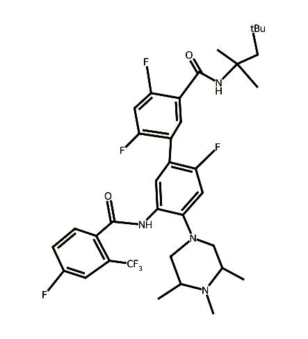 CC1CN(c2cc(F)c(-c3cc(C(=O)NC(C)(C)CC(C)(C)C)c(F)cc3F)cc2NC(=O)c2ccc(F)cc2C(F)(F)F)CC(C)N1C